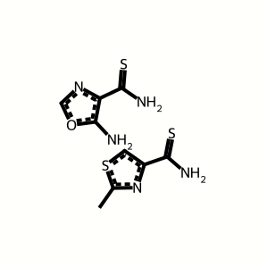 Cc1nc(C(N)=S)cs1.NC(=S)c1ncoc1N